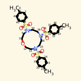 Cc1ccc(S(=O)(=O)N2CCOCCN(S(=O)(=O)c3ccc(C)cc3)CCN(S(=O)(=O)c3ccc(C)cc3)CC2)cc1